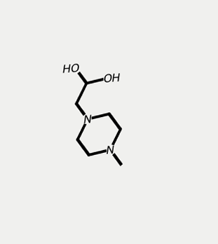 CN1CCN(CC(O)O)CC1